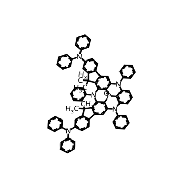 CC1(C)c2cc(N(c3ccccc3)c3ccccc3)ccc2-c2cc3c4c(c21)N(c1ccccc1)c1c2c(cc5c1P4(=O)c1c(cccc1N5c1ccccc1)N3c1ccccc1)-c1ccc(N(c3ccccc3)c3ccccc3)cc1C2(C)C